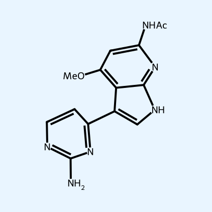 COc1cc(NC(C)=O)nc2[nH]cc(-c3ccnc(N)n3)c12